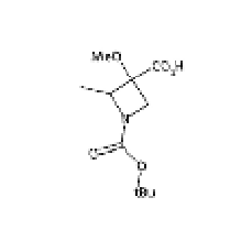 COC1(C(=O)O)CN(C(=O)OC(C)(C)C)C1C